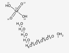 O.O.O.O.O.O.O.O.O.O.O=[Se](=O)(O)O